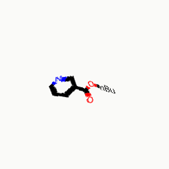 [CH2]CCCOC(=O)c1cccnc1